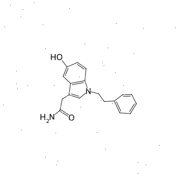 NC(=O)Cc1cn(CCc2ccccc2)c2ccc(O)cc12